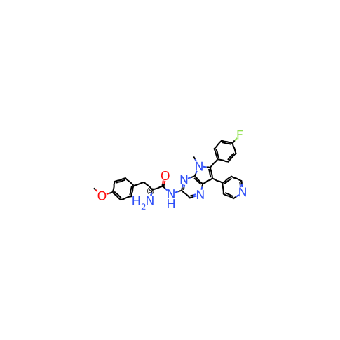 COc1ccc(C[C@H](N)C(=O)Nc2cnc3c(-c4ccncc4)c(-c4ccc(F)cc4)n(C)c3n2)cc1